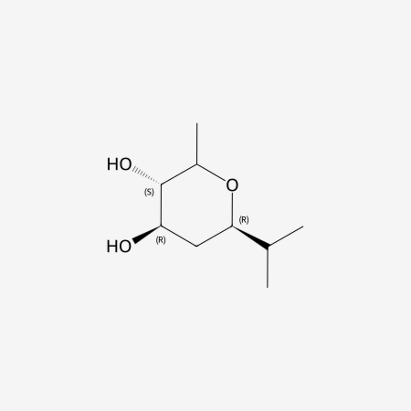 CC1O[C@@H](C(C)C)C[C@@H](O)[C@@H]1O